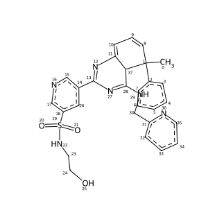 CC1(c2ccccc2)C=CC=C2N=C(c3cncc(S(=O)(=O)NCCO)c3)N=C(NCc3ccccn3)C21